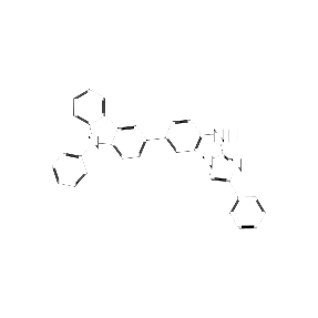 c1ccc(-c2cn3c(n2)[nH]c2ccc(-c4ccc5c(c4)c4ccccc4n5-c4ccccc4)cc23)cc1